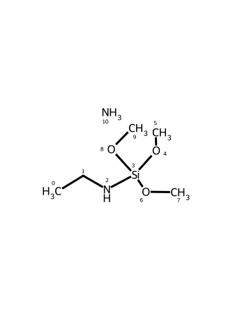 CCN[Si](OC)(OC)OC.N